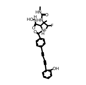 CNC(=O)NC(C)(C(F)F)C(NC(=O)c1ccc(C#CC#Cc2ccccc2O)cc1)C(=O)NO